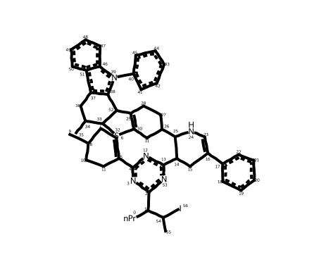 CCCC(c1nc(C2=CCC(C)CC2)nc(C2CC(c3ccccc3)=CNC2C2CCC3=C(C2)SC2C(C)Cc4c(n(-c5ccccc5)c5ccccc45)C32)n1)C(C)I